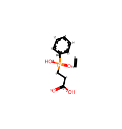 C=C.O=C(O)CCP(=O)(O)c1ccccc1